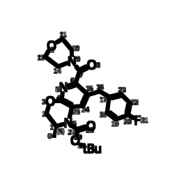 C[C@H]1COc2nc(C(=O)N3CCOCC3)c(Cc3ccc(F)cc3)cc2N1C(=O)OC(C)(C)C